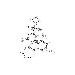 Cc1cc(N2CCCOC[C@@H]2c2ccc(S(=O)(=O)C3CCC3)cc2Cl)nc(N)n1